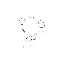 CNc1ncc2c3cc(ncc13)Nc1cccc(n1)OCCc1ccnc(c1)C#C2